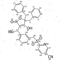 CC(C)(C)C(C1=C(O)C(Cc2ccccc2)(Cc2ccccc2)OC1=O)c1cccc(CS(=O)(=O)c2ccc(C#N)cn2)c1